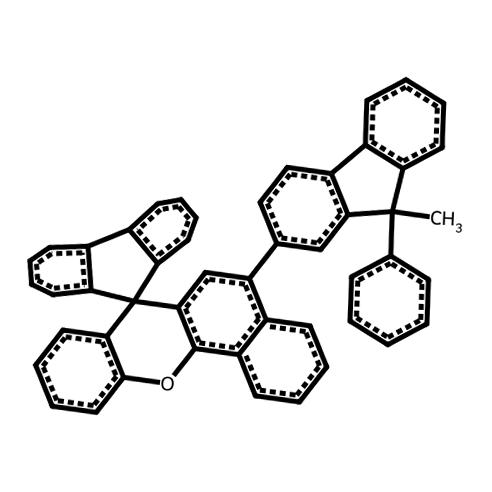 CC1(c2ccccc2)c2ccccc2-c2ccc(-c3cc4c(c5ccccc35)Oc3ccccc3C43c4ccccc4-c4ccccc43)cc21